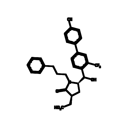 N#Cc1ccc(-c2ccc(C(O)[C@@H]3C[C@@H](CC(=O)O)C(=O)N3CCCc3ccccc3)c(C(F)(F)F)c2)cc1